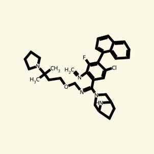 C=Nc1c(/C(=N\COCCC(C)(C)N2CCCC2)N2CC3CCC(C2)N3)cc(Cl)c(-c2cccc3ccccc23)c1F